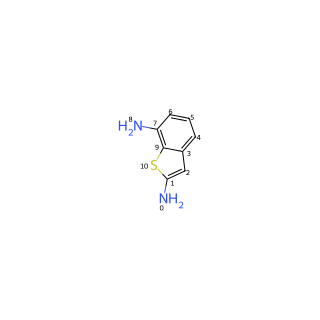 Nc1cc2cccc(N)c2s1